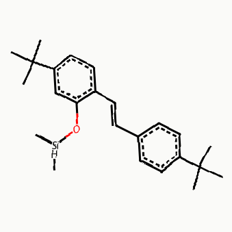 C[SiH](C)Oc1cc(C(C)(C)C)ccc1/C=C/c1ccc(C(C)(C)C)cc1